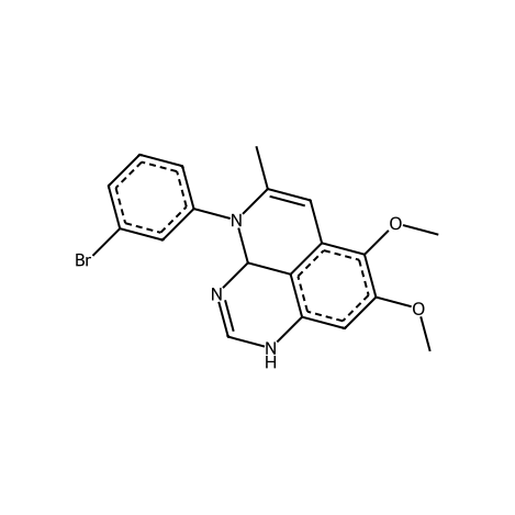 COc1cc2c3c(c1OC)C=C(C)N(c1cccc(Br)c1)C3N=CN2